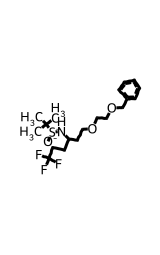 CC(C)(C)[S+]([O-])NC(CCOCCOCc1ccccc1)CCC(F)(F)F